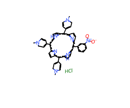 CN1C=CC(c2c3nc(c(C4=CCN(C)C=C4)c4ccc([nH]4)c(-c4cccc([N+](=O)[O-])c4)c4nc(c(C5=CCN(C)C=C5)c5ccc2[nH]5)C=C4)C=C3)=CC1.Cl